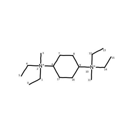 CC[N+](C)(CC)C1CCC([N+](C)(CC)CC)CC1